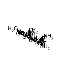 C=CCOC(=O)c1ccc(NC(=O)c2ccc(NC(=O)c3ccc(NC(=O)[C@H](CC(N)=O)NC(=O)c4ccc(N)cc4)cc3)c(OC(C)C)c2OCC=C)cc1